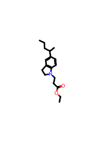 CCCC(C)c1ccc2c(c1)CCN2CCC(=O)OCC